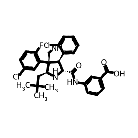 CC(C)(C)C[C@@H]1N[C@@H](C(=O)Nc2cccc(C(=O)O)c2)[C@H](c2ccccc2Cl)[C@@]1(CN)c1cc(Cl)ccc1F